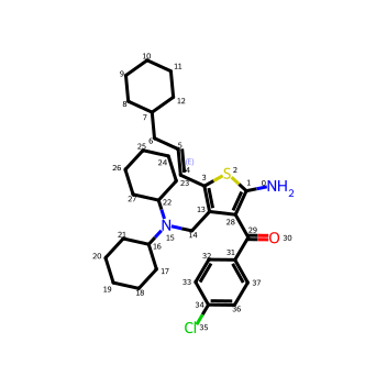 Nc1sc(/C=C/CC2CCCCC2)c(CN(C2CCCCC2)C2CCCCC2)c1C(=O)c1ccc(Cl)cc1